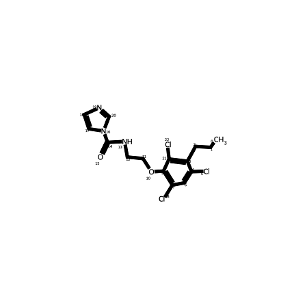 CCCc1c(Cl)cc(Cl)c(OCCNC(=O)n2ccnc2)c1Cl